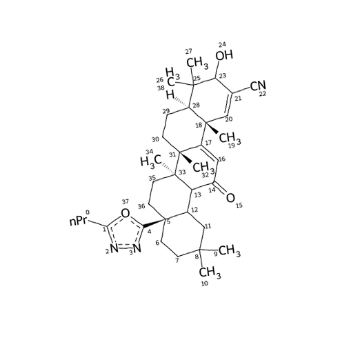 CCCc1nnc([C@]23CCC(C)(C)CC2C2C(=O)C=C4[C@@]5(C)C=C(C#N)C(O)C(C)(C)[C@@H]5CC[C@@]4(C)[C@]2(C)CC3)o1